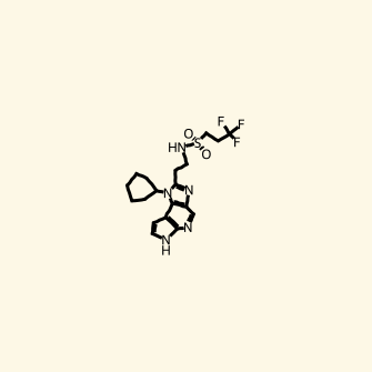 O=S(=O)(CCC(F)(F)F)NCCc1nc2cnc3[nH]ccc3c2n1C1CCCCC1